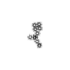 c1ccc(-c2nc(-c3ccc(-c4ccccn4)cc3)nc(-c3cccc(-c4cccc5c4-c4ccccc4C54c5ccccc5-c5ccccc54)c3)n2)cc1